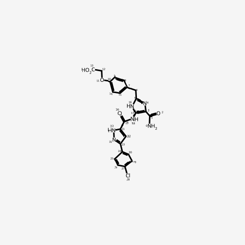 NC(=O)c1nc(Cc2ccc(OCC(=O)O)cc2)[nH]c1NC(=O)c1cc(-c2ccc(Cl)cc2)n[nH]1